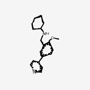 COc1ccc(-c2ccncc2)cc1CNC1CCCCC1